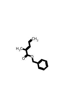 C=CC=C(C)C(=O)OCc1ccccc1